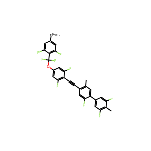 CCCCCc1cc(F)c(C(F)(F)Oc2cc(F)c(C#Cc3cc(F)c(-c4cc(F)c(C)c(F)c4)cc3C)c(F)c2)c(F)c1